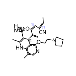 C=C(/C(=C\C(C#N)=C/C)OC)[C@@H]1C(C(N)=O)=C(C)Nc2c(C)cnc(OCCN3CCCC3)c21